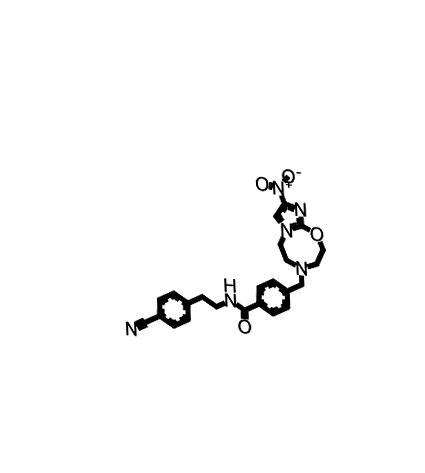 N#Cc1ccc(CCNC(=O)c2ccc(CN3CCOc4nc([N+](=O)[O-])cn4CC3)cc2)cc1